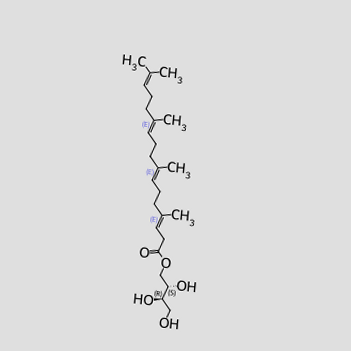 CC(C)=CCC/C(C)=C/CC/C(C)=C/CC/C(C)=C/CC(=O)OC[C@H](O)[C@H](O)CO